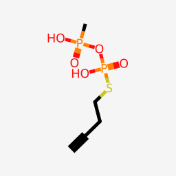 C#CCCSP(=O)(O)OP(C)(=O)O